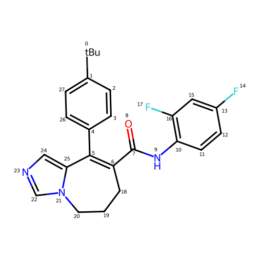 CC(C)(C)c1ccc(C2=C(C(=O)Nc3ccc(F)cc3F)CCCn3cncc32)cc1